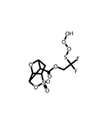 O=C(OCC(F)(F)SOOO)C1C2CC3C(O2)C1OS3(=O)=O